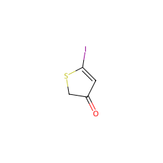 O=C1C=C(I)SC1